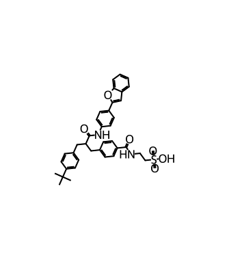 CC(C)(C)c1ccc(CC(Cc2ccc(C(=O)NCCS(=O)(=O)O)cc2)C(=O)Nc2ccc(-c3cc4ccccc4o3)cc2)cc1